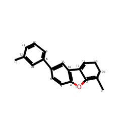 CC1=c2oc3ccc(-c4cccc(C)c4)cc3c2=CCC1